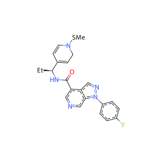 CC[C@H](NC(=O)c1cncc2c1cnn2-c1ccc(F)cc1)C1=CCN(SC)C=C1